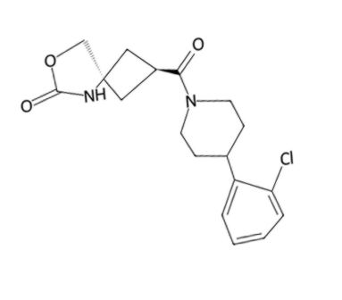 O=C1N[C@]2(CO1)C[C@H](C(=O)N1CCC(c3ccccc3Cl)CC1)C2